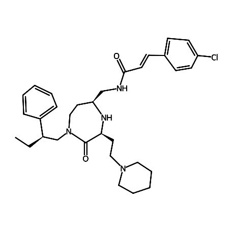 CC[C@H](CN1CC[C@@H](CNC(=O)C=Cc2ccc(Cl)cc2)N[C@@H](CCN2CCCCC2)C1=O)c1ccccc1